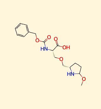 COC1CC[C@@H](COC[C@H](NC(=O)OCc2ccccc2)C(=O)O)N1